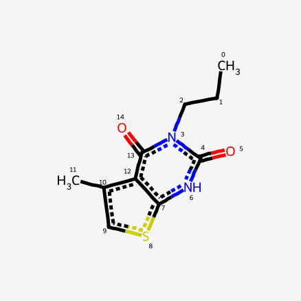 CCCn1c(=O)[nH]c2scc(C)c2c1=O